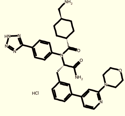 Cl.NC[C@H]1CC[C@H](C(=O)N(c2ccc(-c3nn[nH]n3)cc2)[C@@H](Cc2cccc(-c3ccnc(N4CCOCC4)c3)c2)C(N)=O)CC1